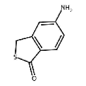 Nc1ccc2c(c1)CSC2=O